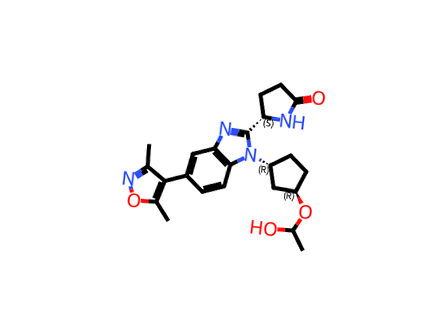 Cc1noc(C)c1-c1ccc2c(c1)nc([C@@H]1CCC(=O)N1)n2[C@@H]1CC[C@@H](OC(C)O)C1